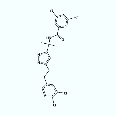 CC(C)(NC(=O)c1cc(Cl)cc(Cl)c1)c1cn(CCc2ccc(Cl)c(Cl)c2)nn1